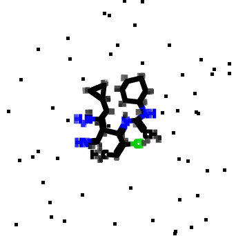 C=C(/N=C(C(\Cl)=C/C)/C(C=N)=C(/N)CC1CC1)NC1CCCCC1